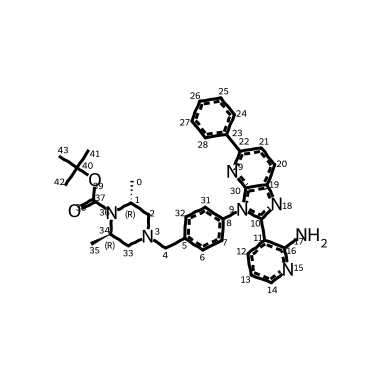 C[C@@H]1CN(Cc2ccc(-n3c(-c4cccnc4N)nc4ccc(-c5ccccc5)nc43)cc2)C[C@@H](C)N1C(=O)OC(C)(C)C